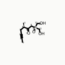 CC#CC[C@@H](C)C(=O)CP(=O)(CO)CO